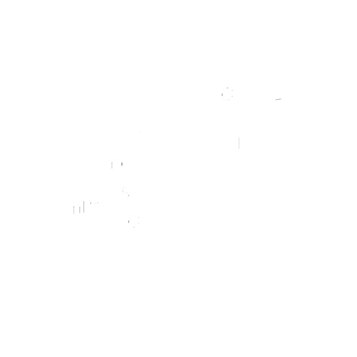 CCCS(=O)(=O)Cc1cccc(OC(F)F)c1